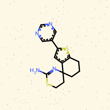 NC1=NC2(CCCc3sc(-c4cncnc4)cc32)CCS1